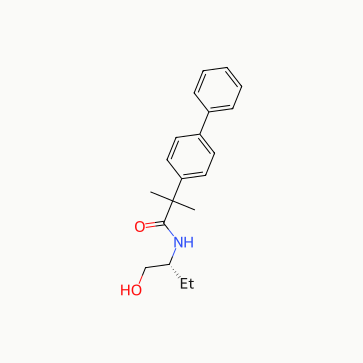 CC[C@H](CO)NC(=O)C(C)(C)c1ccc(-c2ccccc2)cc1